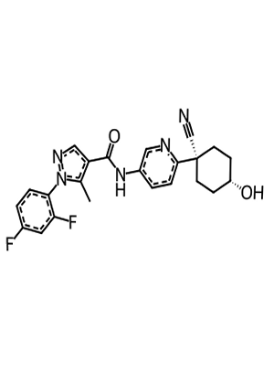 Cc1c(C(=O)Nc2ccc([C@]3(C#N)CC[C@@H](O)CC3)nc2)cnn1-c1ccc(F)cc1F